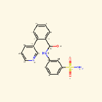 NS(=O)(=O)c1cccc(NC(=O)c2ccccc2-c2cccnc2)c1